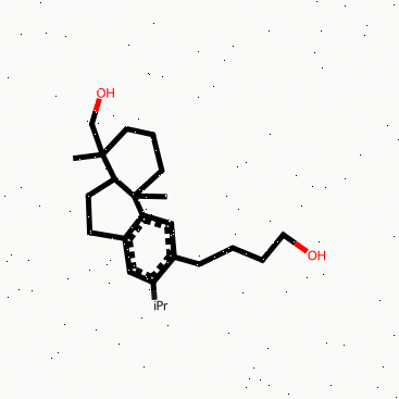 CC(C)c1cc2c(cc1CCCCO)C1(C)CCCC(C)(CO)C1CC2